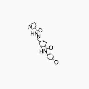 COc1ccc(NC(=O)c2ccc(C=NNC(=O)c3cccnc3)cc2)cc1